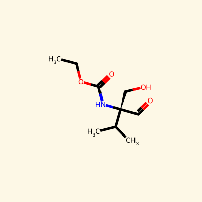 CCOC(=O)N[C@@](C=O)(CO)C(C)C